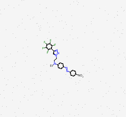 CCN(CCn1cc(-c2c(F)c(F)c(F)c(F)c2F)nn1)c1ccc(/N=N/c2ccc([N+](=O)[O-])cc2)cc1